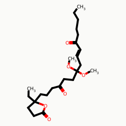 CCCCCC(=O)C=CCC(CCC(=O)CCCC1(CC)CCC(=O)O1)(OC)OC